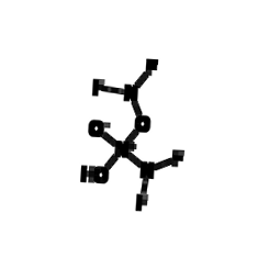 [O-][N+](O)(ON(F)F)N(F)F